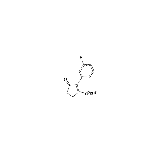 CCCCCC1=C(c2cccc(F)c2)C(=O)CC1